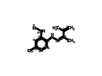 C=C(C)C(C)=NNc1nnc(Cl)cc1NCC